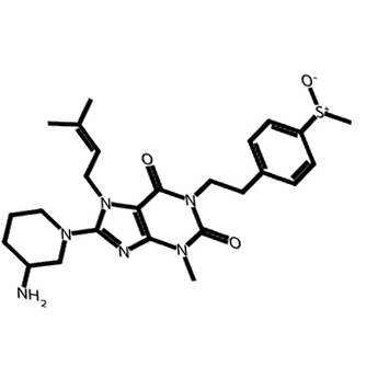 CC(C)=CCn1c(N2CCCC(N)C2)nc2c1c(=O)n(CCc1ccc([S+](C)[O-])cc1)c(=O)n2C